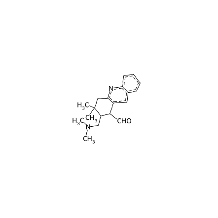 CN(C)CC1C(C=O)c2cc3ccccc3nc2CC1(C)C